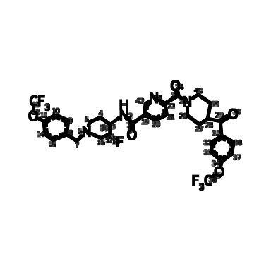 O=C(N[C@@H]1CCN(Cc2ccc(OC(F)(F)F)cc2)C[C@H]1F)c1ccc(C(=O)N2CCC(C(=O)c3ccc(OC(F)(F)F)cc3)CC2)nc1